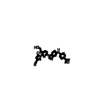 Cc1cc(C#N)nn1-c1nc(-n2cnc3cc(Nc4ccc(C5COC5)nn4)ccc32)ccc1CCO